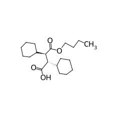 CCCCOC(=O)[C@H](C1CCCCC1)[C@@H](C(=O)O)C1CCCCC1